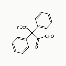 CCCCCCCCC(C(=O)C=O)(c1ccccc1)c1ccccc1